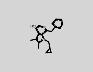 Cc1c(C)n(CC2CC2)c2c(Cc3ccccc3)nccc12.Cl